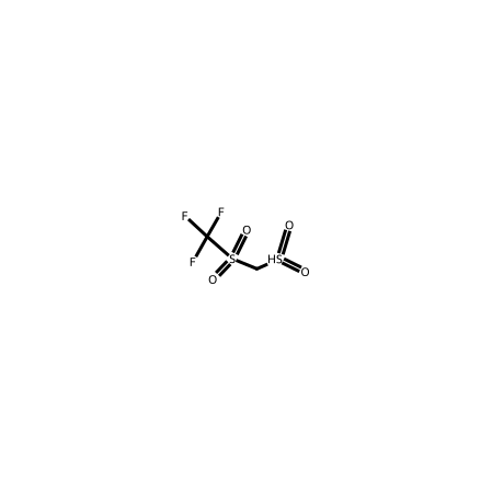 O=[SH](=O)CS(=O)(=O)C(F)(F)F